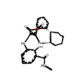 CNC(=O)c1cccc(Nc2c(N[C@@H]3CCCC[C@H]3c3ccccc3)c(=O)c2=O)c1O